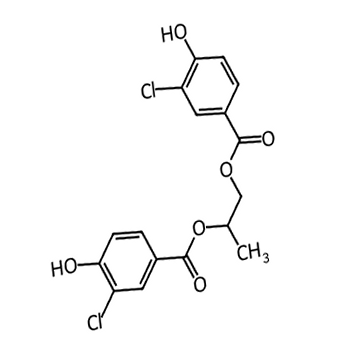 CC(COC(=O)c1ccc(O)c(Cl)c1)OC(=O)c1ccc(O)c(Cl)c1